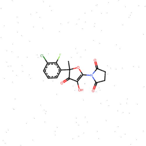 CC1(c2cccc(Cl)c2F)OC(N2C(=O)CCC2=O)=C(O)C1=O